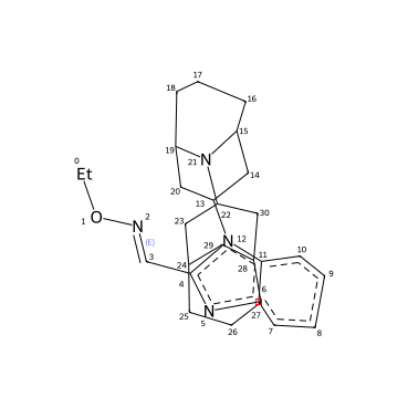 CCO/N=C/c1nc2ccccc2n1C1CC2CCCC(C1)N2C1CC2CCCC(C2)C1